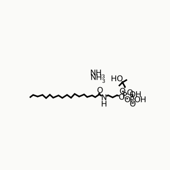 CCCCCCCCCCCCCCCCCC(=O)NCCCOP(=O)(OCC(C)(C)O)OP(=O)(O)O.N.N